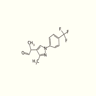 Cc1nn(-c2ccc(C(F)(F)F)cc2)cc1C(C)C=O